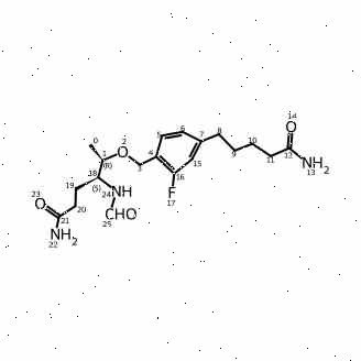 C[C@@H](OCc1ccc(CCCCC(N)=O)cc1F)[C@H](CCC(N)=O)NC=O